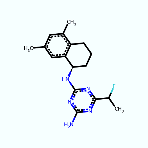 Cc1cc(C)c2c(c1)[C@H](Nc1nc(N)nc(C(C)F)n1)CCC2